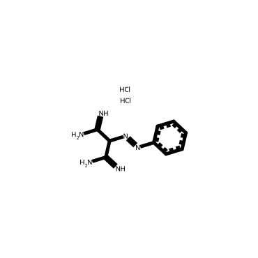 Cl.Cl.N=C(N)C(N=Nc1ccccc1)C(=N)N